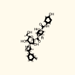 O=C(Nc1ccc(O)cc1)N1C[C@@H]2C[C@H]1CN2C(=O)[C@@H]1O[C@H](CO)[C@H](O)[C@H](n2cc(-c3cccc(F)c3)nn2)[C@H]1O